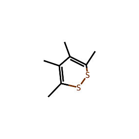 CC1=C(C)C(C)=C(C)SS1